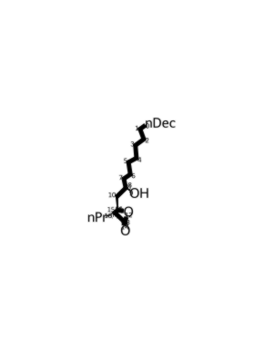 CCCCCCCCCCCCCCCCC[C@H](O)C[C@H]1OC(=O)[C@@H]1CCC